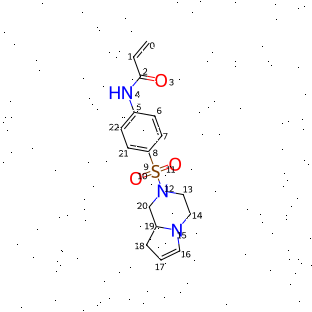 C=CC(=O)Nc1ccc(S(=O)(=O)N2CCN3C=CCC3C2)cc1